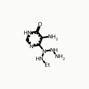 CCNN(NN)c1nc[nH]c(=O)c1N